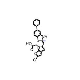 O=C(O)C[n+]1c(/C=C2/Nc3cc(-c4ccccc4)ccc3S2)sc2cc(Cl)oc21